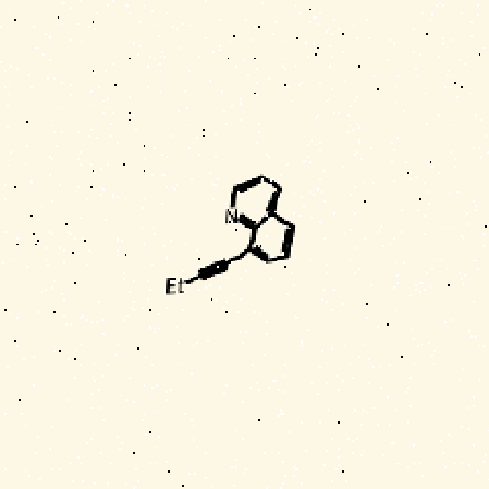 CCC#Cc1cccc2cccnc12